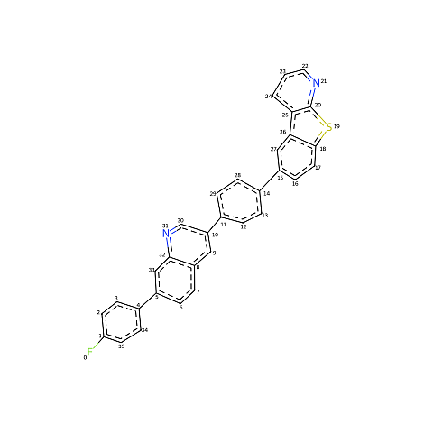 Fc1ccc(-c2ccc3cc(-c4ccc(-c5ccc6sc7ncccc7c6c5)cc4)cnc3c2)cc1